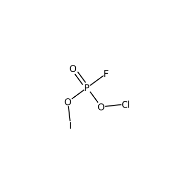 O=P(F)(OCl)OI